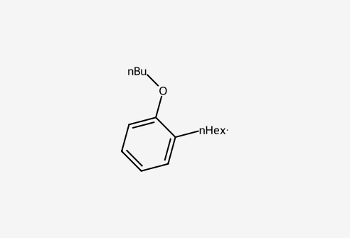 CCCCC[CH]c1ccccc1OCCCC